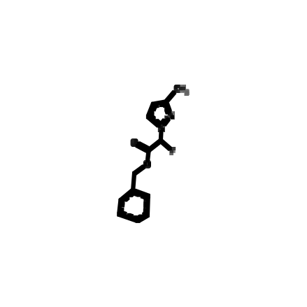 Cc1ccn(C(F)C(=O)OCc2ccccc2)n1